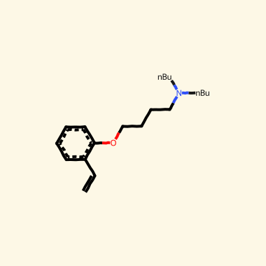 C=Cc1ccccc1OCCCCN(CCCC)CCCC